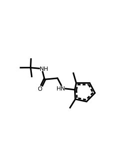 Cc1cccc(C)c1NCC(=O)NC(C)(C)C